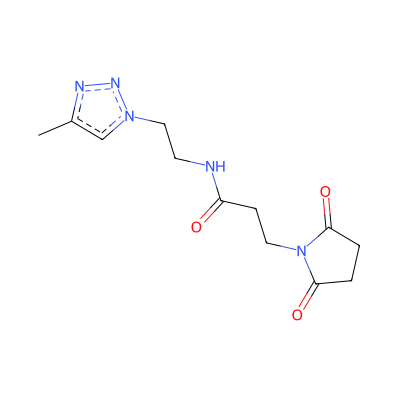 Cc1cn(CCNC(=O)CCN2C(=O)CCC2=O)nn1